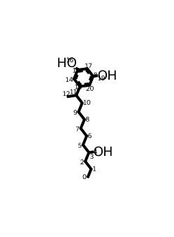 CCCC(O)CCCCCCC(C)c1cc(O)cc(O)c1